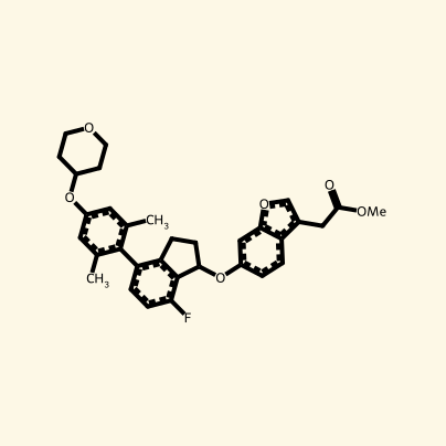 COC(=O)Cc1coc2cc(OC3CCc4c(-c5c(C)cc(OC6CCOCC6)cc5C)ccc(F)c43)ccc12